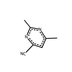 Cc1cc(C#N)nc(C)n1